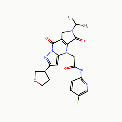 CC(C)N1Cc2c(n(CC(=O)Nc3ccc(F)cn3)c3cc([C@H]4CCOC4)nn3c2=O)C1=O